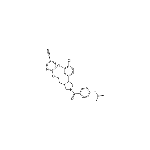 CN(C)Cc1ccc(C(=O)N2CC(CCOc3ccc(C#N)cn3)C(c3ccc(Cl)c(Cl)c3)C2)cn1